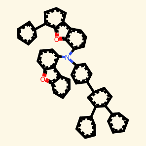 c1ccc(-c2ccc(-c3ccc(N(c4cccc5c4oc4c(-c6ccccc6)cccc45)c4cccc5oc6ccccc6c45)cc3)cc2-c2ccccc2)cc1